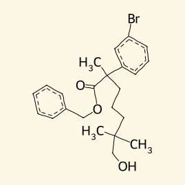 CC(C)(CO)CCCC(C)(C(=O)OCc1ccccc1)c1cccc(Br)c1